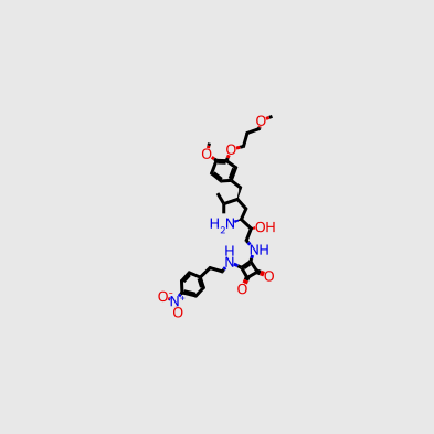 COCCCOc1cc(C[C@@H](C[C@H](N)[C@@H](O)CNc2c(NCCc3ccc([N+](=O)[O-])cc3)c(=O)c2=O)C(C)C)ccc1OC